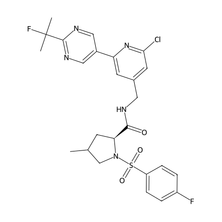 CC1C[C@@H](C(=O)NCc2cc(Cl)nc(-c3cnc(C(C)(C)F)nc3)c2)N(S(=O)(=O)c2ccc(F)cc2)C1